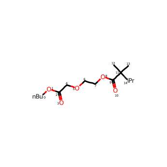 CCCCOC(=O)COCCOC(=O)C(C)(C)C(C)C